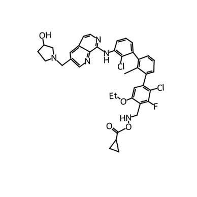 CCOc1cc(-c2cccc(-c3cccc(Nc4nccc5cc(CN6CCC(O)C6)cnc45)c3Cl)c2C)c(Cl)c(F)c1CNOC(=O)C1CC1